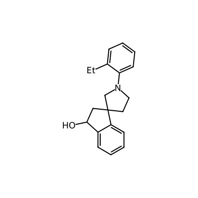 CCc1ccccc1N1CCC2(CC(O)c3ccccc32)C1